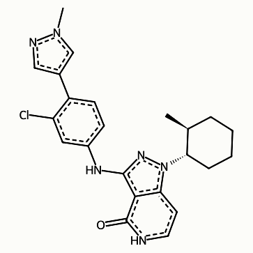 C[C@H]1CCCC[C@@H]1n1nc(Nc2ccc(-c3cnn(C)c3)c(Cl)c2)c2c(=O)[nH]ccc21